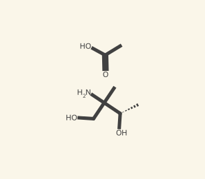 CC(=O)O.C[C@H](O)C(C)(N)CO